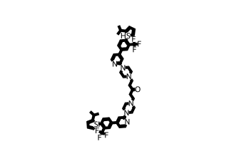 CC(C)C1=CC=C[SH]1c1ccc(-c2ccnc(N3CCN(CCC(=O)CCN4CCN(c5cc(-c6ccc([SH]7C=CC=C7C(C)C)c(C(F)(F)F)c6)ccn5)CC4)CC3)c2)cc1C(F)(F)F